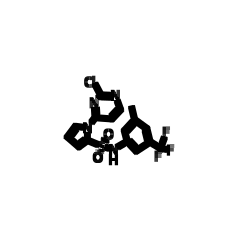 Cc1cc(NS(=O)(=O)c2cccn2-c2ccnc(Cl)n2)cc(C(F)(F)F)c1